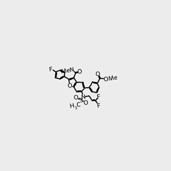 CNC(=O)c1c(-c2ccc(F)cc2)oc2cc(N(CC=C(F)F)S(C)(=O)=O)c(-c3cccc(C(=O)OC)c3)cc12